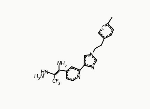 Cc1ccc(CCn2cnc(-c3cc(/C(N)=C(/NN)C(F)(F)F)ccn3)c2)cc1